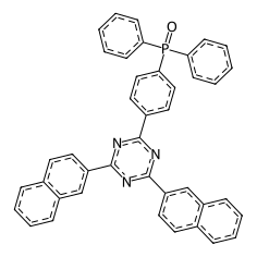 O=P(c1ccccc1)(c1ccccc1)c1ccc(-c2nc(-c3ccc4ccccc4c3)nc(-c3ccc4ccccc4c3)n2)cc1